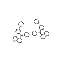 c1ccc(-c2cccc(N(c3ccc(-c4ccc(N(c5cccc(-c6ccccc6)c5)c5cccc6ccccc56)cc4)cc3)c3cccc4ccccc34)c2)cc1